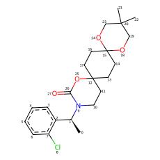 C[C@@H](c1ccccc1Cl)N1CCC2(CCC3(CC2)OCC(C)(C)CO3)OC1=O